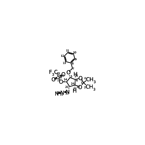 CC1(C)O[C@@H]2[C@@H](OCc3ccccc3)[C@H](OS(=O)(=O)C(F)(F)F)[C@@H](N=[N+]=[N-])[C@@H]2O1